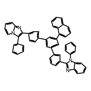 c1ccc(-c2c(-c3ccc(-c4cc(-c5cccc(-c6nc7ccccc7n6-c6ccccc6)c5)cc(-c5cccc6ccccc56)c4)cc3)nc3ccccn23)cc1